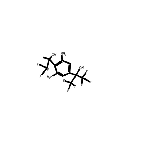 CC(O)(c1c(N)cc(C(O)(C(F)(F)F)C(F)(F)F)cc1N)C(F)(F)F